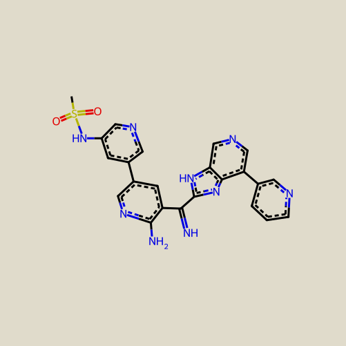 CS(=O)(=O)Nc1cncc(-c2cnc(N)c(C(=N)c3nc4c(-c5cccnc5)cncc4[nH]3)c2)c1